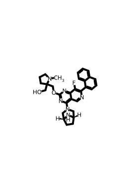 CN1CCCC1(CO)COc1nc(N2C[C@H]3CC[C@@H](C2)N3)c2cnc(-c3cccc4ccccc34)c(F)c2n1